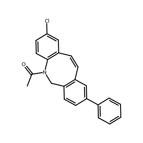 CC(=O)N1Cc2ccc(-c3ccccc3)cc2C=Cc2cc(Cl)ccc21